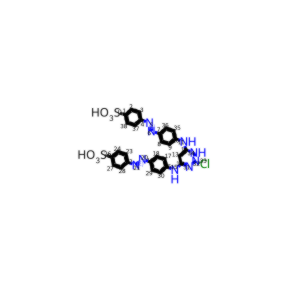 O=S(=O)(O)c1ccc(/N=N/c2ccc(NC3=CC(Nc4ccc(/N=N/c5ccc(S(=O)(=O)O)cc5)cc4)=NN(Cl)N3)cc2)cc1